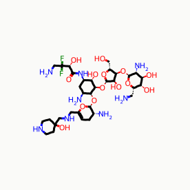 NC[C@@H]1O[C@H](O[C@H]2[C@@H](O)[C@H](O[C@@H]3[C@@H](O)[C@H](NC(=O)[C@@H](O)C(F)(F)CN)C[C@H](N)[C@H]3O[C@H]3OC(CNCC4(O)CCNCC4)=CC[C@H]3N)O[C@@H]2CO)[C@H](N)[C@@H](O)[C@@H]1O